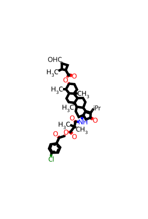 CC(C)C1=C2C3CCC4C(C)(CCC5C(C)C(OC(=O)C6CC(C=O)C6C)CCC54C)C3CCC2(NC(=O)C(C)(C)C(=O)OCC(=O)c2ccc(Cl)cc2)CC1=O